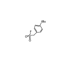 CC(C)(C)c1ccc(CS(=O)(=O)F)cc1